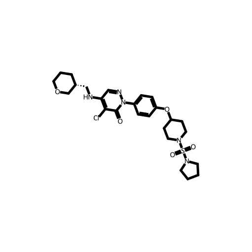 O=c1c(Cl)c(NC[C@H]2CCCOC2)cnn1-c1ccc(OC2CCN(S(=O)(=O)N3CCCC3)CC2)cc1